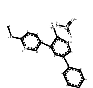 COc1ccc(-c2cc(-c3ccccc3)cnc2N)cn1.N[SH](=O)=O